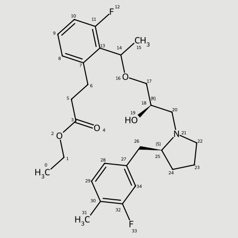 CCOC(=O)CCc1cccc(F)c1C(C)OC[C@H](O)CN1CCC[C@H]1Cc1ccc(C)c(F)c1